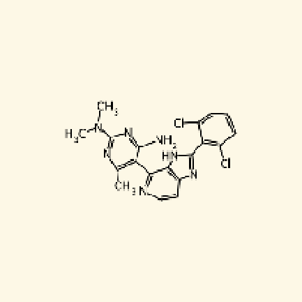 Cc1nc(N(C)C)nc(N)c1-c1nccc2nc(-c3c(Cl)cccc3Cl)[nH]c12